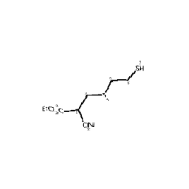 CCOC(=O)C(C#N)CSCCS